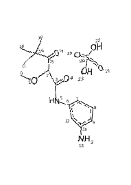 COC(C(=O)Nc1cccc(N)c1)C(=O)C(C)(C)C.O=S(=O)(O)O